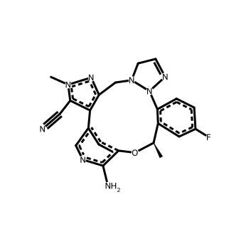 C[C@H]1Oc2cc(cnc2N)-c2c(nn(C)c2C#N)CN2CC=NN2c2ccc(F)cc21